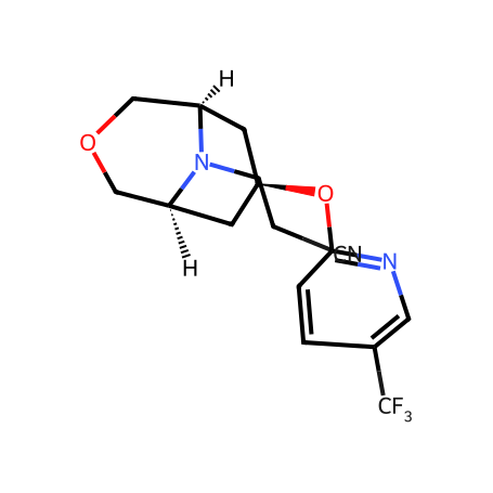 N#CCCN1[C@@H]2COC[C@H]1C[C@@H](Oc1ccc(C(F)(F)F)cn1)C2